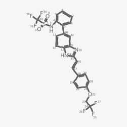 O=S(=O)(Nc1ccccc1-c1ccc2[nH]c(/C=C/c3ccc(OCC(F)(F)F)cc3)nc2c1)C(F)(F)F